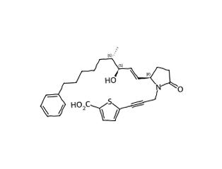 C[C@@H](CCCCCc1ccccc1)[C@H](O)C=C[C@H]1CCC(=O)N1CC#Cc1ccc(C(=O)O)s1